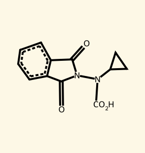 O=C1c2ccccc2C(=O)N1N(C(=O)O)C1CC1